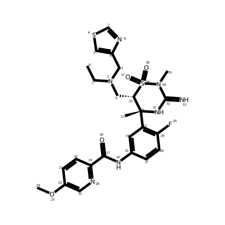 CCN(Cc1cscn1)C[C@H]1[C@@](C)(c2cc(NC(=O)c3ccc(OC)cn3)ccc2F)NC(=N)N(C)S1(=O)=O